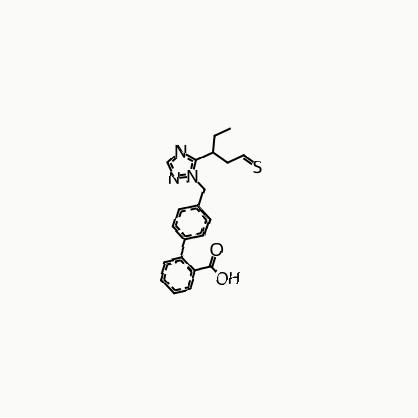 CCC(CC=S)c1ncnn1Cc1ccc(-c2ccccc2C(=O)O)cc1